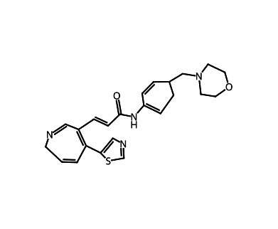 O=C(/C=C/C1=C(c2cncs2)C=CCN=C1)NC1=CCC(CN2CCOCC2)C=C1